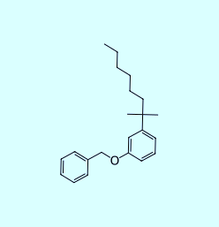 CCCCCCC(C)(C)c1cccc(OCc2ccccc2)c1